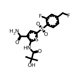 CC(C)(O)C(=O)Nc1sc(S(=O)(=O)c2ccc(CF)cc2F)cc1C(N)=O